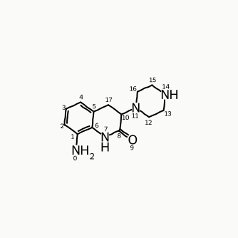 Nc1cccc2c1NC(=O)C(N1CCNCC1)C2